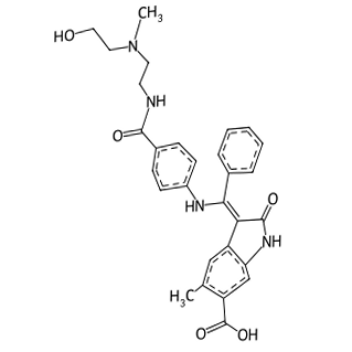 Cc1cc2c(cc1C(=O)O)NC(=O)C2=C(Nc1ccc(C(=O)NCCN(C)CCO)cc1)c1ccccc1